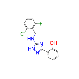 Oc1ccccc1-c1n[nH]c(NCc2c(F)cccc2Cl)n1